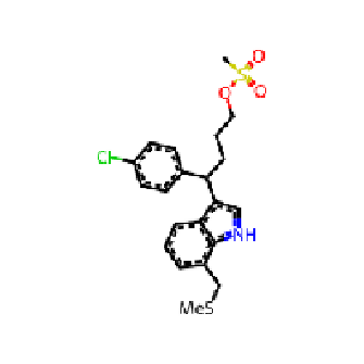 CSCc1cccc2c(C(CCCOS(C)(=O)=O)c3ccc(Cl)cc3)c[nH]c12